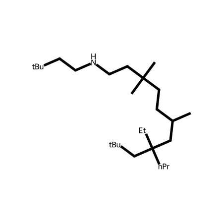 CCCC(CC)(CC(C)CCC(C)(C)CCNCCC(C)(C)C)CC(C)(C)C